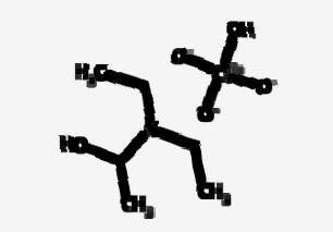 CCN(CC)C(C)O.[O-][Cl+3]([O-])([O-])O